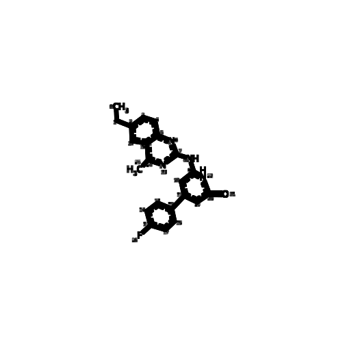 CCc1ccc2nc(Nc3cc(-c4ccc(F)cc4)cc(=O)[nH]3)nc(C)c2c1